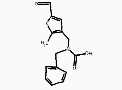 Cc1sc(C=O)cc1CN(Cc1ccccc1)C(=O)O